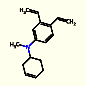 C=Cc1ccc(N(C)C2CC=CCC2)cc1C=C